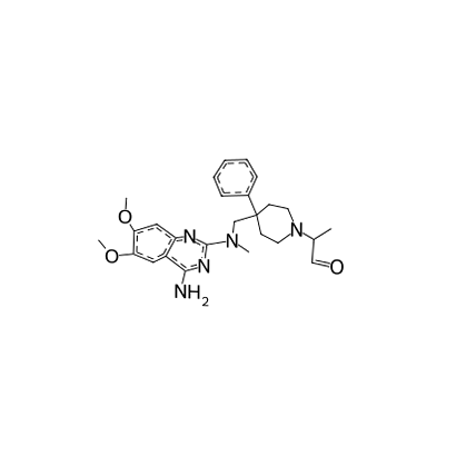 COc1cc2nc(N(C)CC3(c4ccccc4)CCN(C(C)C=O)CC3)nc(N)c2cc1OC